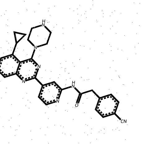 N#Cc1ccc(CC(=O)Nc2cc(-c3nc(N4CCNCC4)c4c(C5CC5)cncc4n3)ccn2)cc1